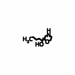 CCCCC(O)[C@H]1CNCCO1